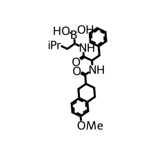 COc1ccc2c(c1)CCC(C(=O)NC(Cc1ccccc1)C(=O)NC(CC(C)C)B(O)O)C2